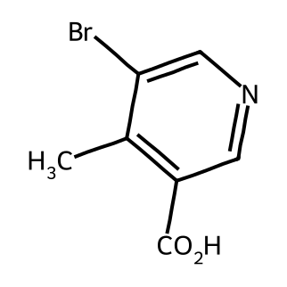 Cc1c(Br)cncc1C(=O)O